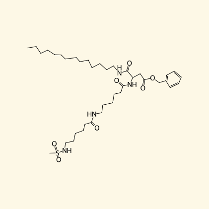 CCCCCCCCCCCCCCNC(=O)C(CC(=O)OCc1ccccc1)NC(=O)CCCCCNC(=O)CCCCCNS(C)(=O)=O